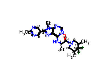 CC[C@H](Nc1ncnc2c1nc(-c1cnc(C)nc1)n2CC)C(=O)N1CC(C)C(F)(F)C(C)C1